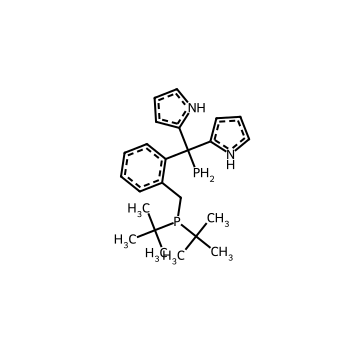 CC(C)(C)P(Cc1ccccc1C(P)(c1ccc[nH]1)c1ccc[nH]1)C(C)(C)C